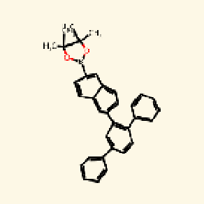 CC1(C)OB(c2ccc3cc(-c4cc(-c5ccccc5)ccc4-c4ccccc4)ccc3c2)OC1(C)C